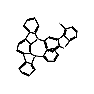 Brc1cccc2oc3ccc(-n4c5ccccc5c5ccc6c7ccccc7n(-c7ccccc7)c6c54)cc3c12